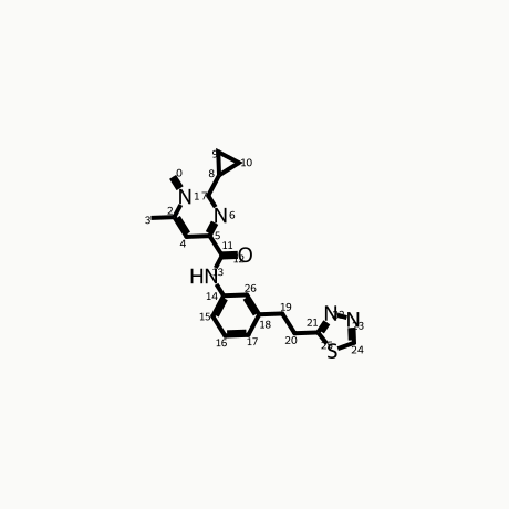 C=N/C(C)=C\C(=N/CC1CC1)C(=O)Nc1cccc(CCc2nncs2)c1